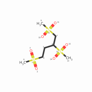 CS(=O)(=O)CCC(CS(C)(=O)=O)S(C)(=O)=O